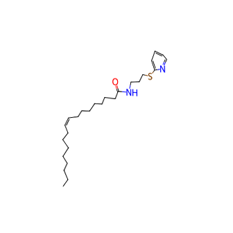 CCCCCCCC/C=C\CCCCCCCC(=O)NCCCSc1ccccn1